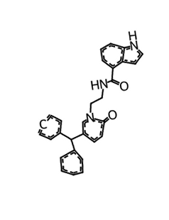 O=C(NCCn1cc(C(c2ccccc2)c2ccccc2)ccc1=O)c1cccc2[nH]ccc12